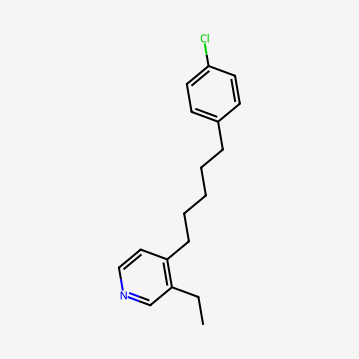 CCc1cnccc1CCCCCc1ccc(Cl)cc1